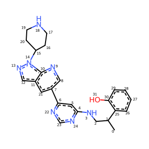 CC(CNc1cc(-c2cnc3c(cnn3C3CCNCC3)c2)ncn1)c1ccccc1O